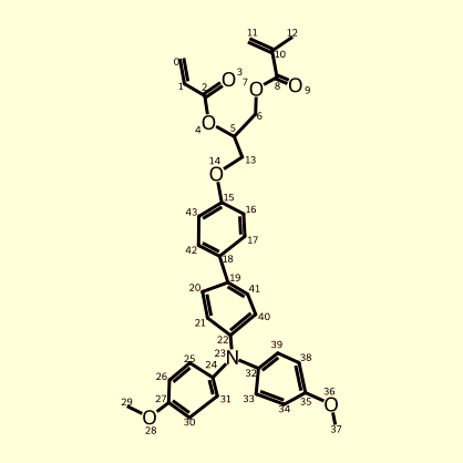 C=CC(=O)OC(COC(=O)C(=C)C)COc1ccc(-c2ccc(N(c3ccc(OC)cc3)c3ccc(OC)cc3)cc2)cc1